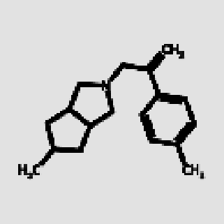 C=C(CN1CC2CC(C)CC2C1)c1ccc(C)cc1